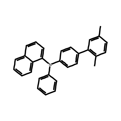 Cc1ccc(C)c(-c2ccc(N(c3ccccc3)c3cccc4ccccc34)cc2)c1